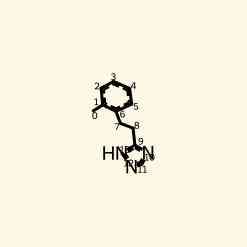 Cc1ccccc1CCc1ncn[nH]1